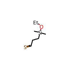 CCO[Si](C)(C)CCC=S